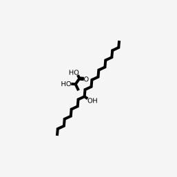 CC(O)C(=O)O.CCCCCCCCCCCC(O)CCCCCCCC